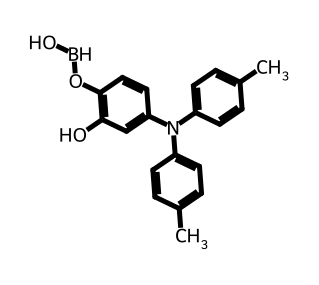 Cc1ccc(N(c2ccc(C)cc2)c2ccc(OBO)c(O)c2)cc1